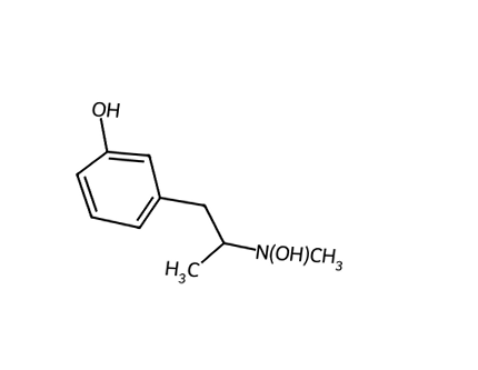 CC(Cc1cccc(O)c1)N(C)O